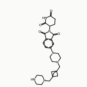 O=C1CCC(N2C(=O)c3ccc(N4CCN(CC56CC(CN7CCNCC7)(C5)C6)CC4)cc3C2=O)C(=O)N1